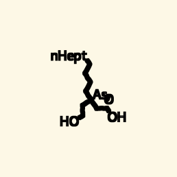 CCCCCCCCCCCC(CCO)(CCO)[As]=O